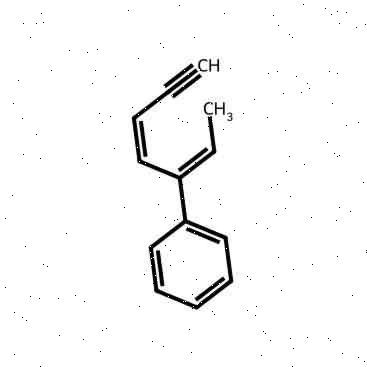 C#C/C=C\C(=C/C)c1ccccc1